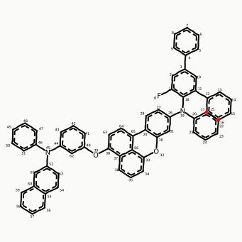 Fc1cc(-c2ccccc2)cc(-c2ccccc2)c1N(c1ccccc1)c1ccc2c(c1)Oc1cccc3c(Oc4cccc(N(c5ccccc5)c5ccc6ccccc6c5)c4)ccc-2c13